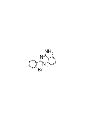 C[C@@]12C=CC=CC1C(N)=NC(c1ccccc1Br)=N2